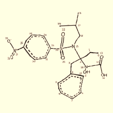 CCC(Cc1ccccc1)(N(O)C(=O)O)N(CC(C)C)S(=O)(=O)c1ccc([N+](=O)[O-])cc1